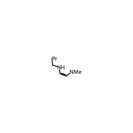 CN/C=C\NCC(C)C